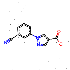 N#Cc1cccc(-n2cc(C(=O)O)cn2)c1